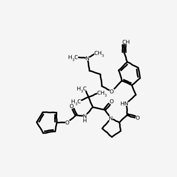 C#Cc1ccc(CNC(=O)C2CCCN2C(=O)C(NC(=O)Oc2ccccc2)C(C)(C)C)c(OCCCN(C)C)c1